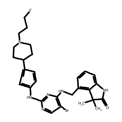 CC1(C)C(=O)Nc2cccc(CNc3nc(Nc4ccc(C5CCN(CCCF)CC5)cc4)ncc3Br)c21